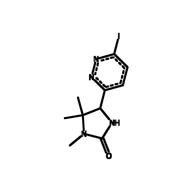 CN1C(=O)NC(c2ccc(I)nn2)C1(C)C